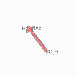 CC(=O)N[C@H]1[C@H](OCC(=O)NCCOCCOCCOCCOCCOCCOCCOCCOCCOCCOCCOCCOCCC(=O)O)O[C@H](CO)[C@@H](O)[C@@H]1O